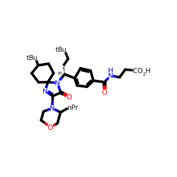 CCCC1COCCN1C1=NC2(CCC(C(C)(C)C)CC2)N([C@H](CCC(C)(C)C)c2ccc(C(=O)NCCC(=O)O)cc2)C1=O